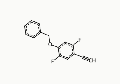 C#Cc1cc(F)c(OCc2ccccc2)cc1F